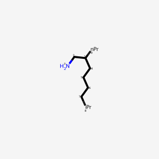 CCCC(CN)CCCCC(C)C